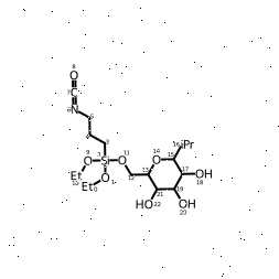 CCO[Si](CCCN=C=O)(OCC)OCC1OC(C(C)C)C(O)C(O)C1O